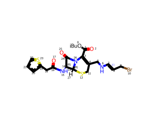 CC(C)COC(=O)C1=C(CN/C=C/CBr)CS[C@@H]2[C@H](NC(=O)Cc3cccs3)C(=O)N12